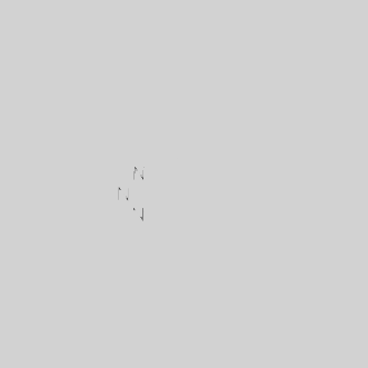 CCC1Cc2ccccc2-c2nnn(CC)c2-c2ccccc21